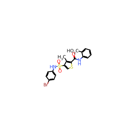 Cc1c(S(=O)(=O)Nc2ccc(Br)cc2)csc1C(=O)Nc1ccccc1C(=O)O